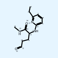 CCc1cccc(NC(CCC=O)C(=O)NC)n1